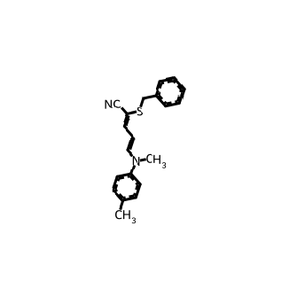 Cc1ccc(N(C)C=CC=C(C#N)SCc2ccccc2)cc1